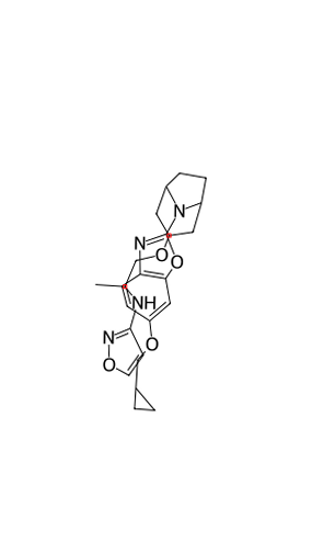 CC(COC1CC2CCC(C1)N2c1nc2ccc(OCC3CC3)cc2o1)Nc1ccon1